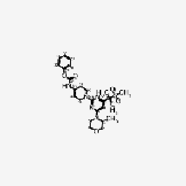 C[C@H]1COCCN1c1cc(C(C)(C)S(C)(=O)=O)nc(N2CCC(NC(=O)Oc3ccccc3)CC2)n1